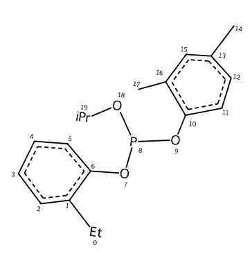 CCc1ccccc1OP(Oc1ccc(C)cc1C)OC(C)C